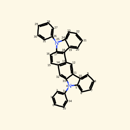 c1ccc(-n2c3ccccc3c3cc4c(ccc5c4c4ccccc4n5-c4ccccc4)cc32)cc1